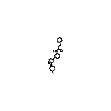 CC1CCN(c2cc(-c3cccc(NC(=O)C=Cc4ccccc4)c3)ccn2)CC1